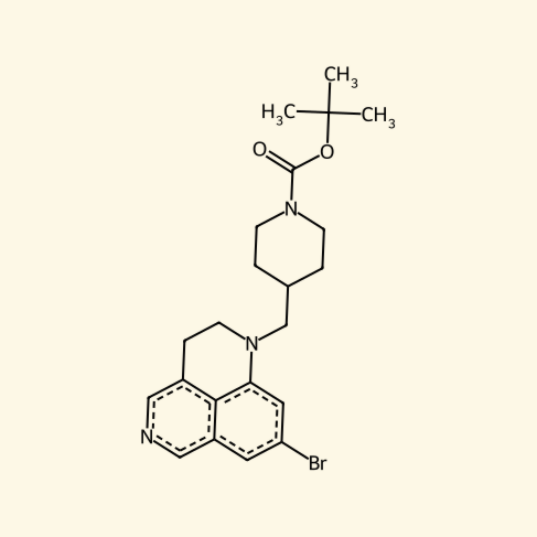 CC(C)(C)OC(=O)N1CCC(CN2CCc3cncc4cc(Br)cc2c34)CC1